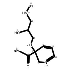 CCCC(=O)C1(OCC(O)CNC(C)C)C=CC=NC1